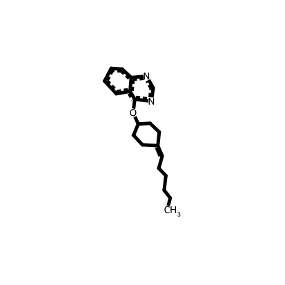 CCCCCC=C1CCC(Oc2ncnc3ccccc23)CC1